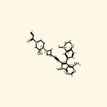 C=CC(=O)N1CC[C@@H](N2CC(C#Cc3c(-c4ccc5c(c4)N(C)CCO5)c4c(N)ncnc4n3C)C2)[C@@H](O)C1